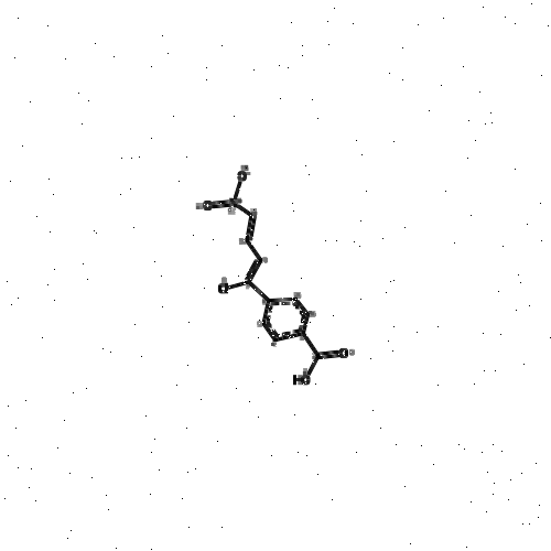 O=C(O)c1ccc(C(Cl)=CC=C[N+](=O)[O-])cc1